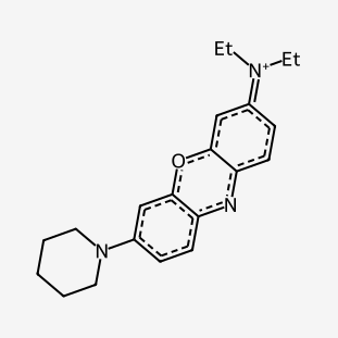 CC[N+](CC)=c1ccc2nc3ccc(N4CCCCC4)cc3oc-2c1